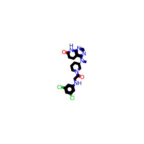 CN(c1ncnc2c1CCC(=O)N2)[C@H]1CCCN(C(=O)CNc2cc(Cl)cc(Cl)c2)C1